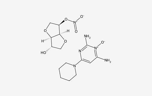 Nc1cc(N2CCCCC2)nc(N)[n+]1[O-].O=[N+]([O-])O[C@@H]1CO[C@H]2[C@@H]1OC[C@@H]2O